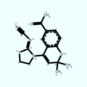 CC(=O)c1ccc2c(c1)C(N1CCSC1=NC#N)=CC(C)(C)O2